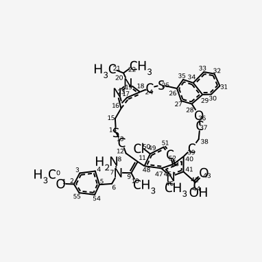 COc1ccc(CN(N)/C(C)=C2\CCSCc3cc(n(C(C)C)n3)CSc3cc(c4ccccc4c3)OCCCc3c(C(=O)O)n(C)c4c2c(Cl)ccc34)cc1